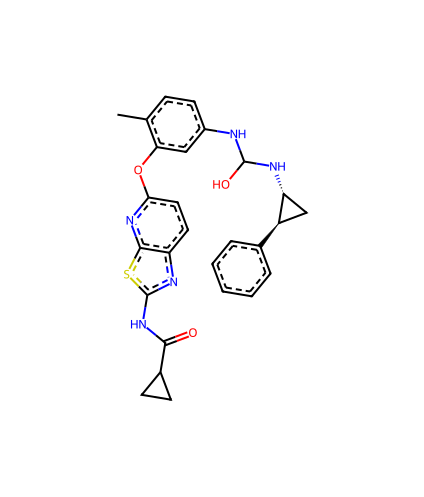 Cc1ccc(NC(O)N[C@@H]2C[C@H]2c2ccccc2)cc1Oc1ccc2nc(NC(=O)C3CC3)sc2n1